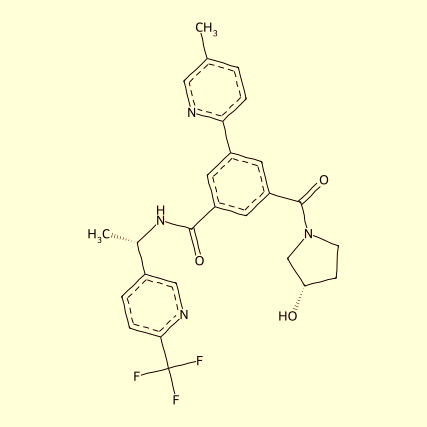 Cc1ccc(-c2cc(C(=O)N[C@@H](C)c3ccc(C(F)(F)F)nc3)cc(C(=O)N3CC[C@H](O)C3)c2)nc1